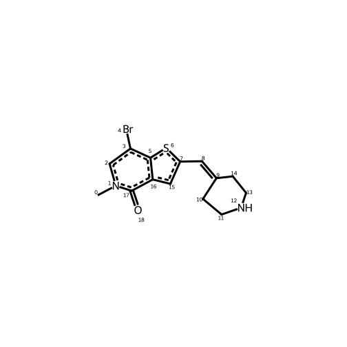 Cn1cc(Br)c2sc(C=C3CCNCC3)cc2c1=O